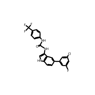 O=C(Nc1ccc(C(F)(F)F)cc1)Nc1c[nH]c2ccc(-c3cc(F)cc(Cl)c3)cc12